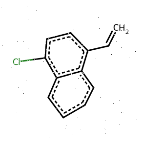 C=Cc1ccc(Cl)c2ccccc12